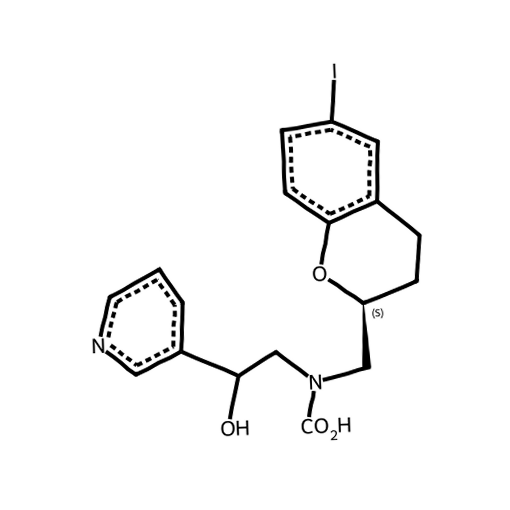 O=C(O)N(CC(O)c1cccnc1)C[C@@H]1CCc2cc(I)ccc2O1